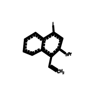 C=Cc1c(CCC)cc(I)c2ccccc12